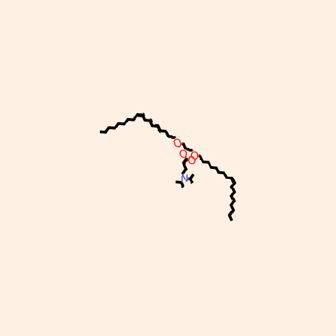 CCCCCCCC/C=C\CCCCCCCCOCC(COCCCCCCCC/C=C\CCCCCCCC)OC(=O)CCCN(C(C)C)C(C)C